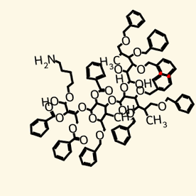 CC(COCc1ccccc1)C(OCc1ccccc1)C(OCc1ccccc1)C(O)C(O)OC(C(O)OC1C(C)C(COCc2ccccc2)OC(O/C(COC(=O)c2ccccc2)=C(/OC(=O)c2ccccc2)C(O)OCCCCCN)C1OC(=O)c1ccccc1)C(OCc1ccccc1)C(OCc1ccccc1)C(C)COCc1ccccc1